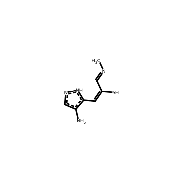 C/N=C/C(S)=C\c1[nH]ncc1N